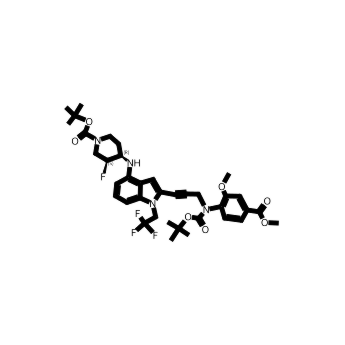 COC(=O)c1ccc(N(CC#Cc2cc3c(N[C@@H]4CCN(C(=O)OC(C)(C)C)C[C@@H]4F)cccc3n2CC(F)(F)F)C(=O)OC(C)(C)C)c(OC)c1